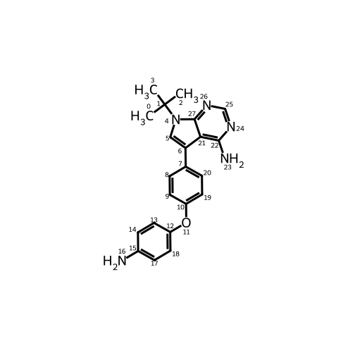 CC(C)(C)n1cc(-c2ccc(Oc3ccc(N)cc3)cc2)c2c(N)ncnc21